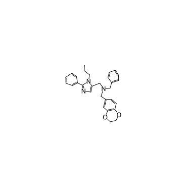 CCCn1c(CN(Cc2ccccc2)Cc2ccc3c(c2)OCCO3)cnc1-c1ccccc1